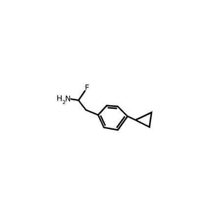 NC(F)Cc1ccc(C2CC2)cc1